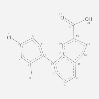 Cc1cc(Cl)ccc1-c1cccc2ccc(C(=O)O)cc12